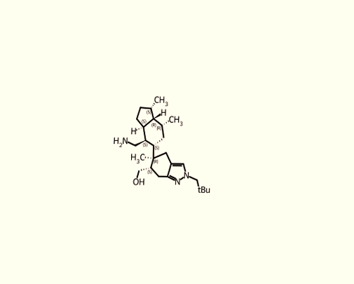 C[C@@H]1C[C@H]([C@@]2(C)Cc3cn(CC(C)(C)C)nc3C[C@@H]2CO)[C@@H](CN)[C@H]2CC[C@H](C)[C@@H]21